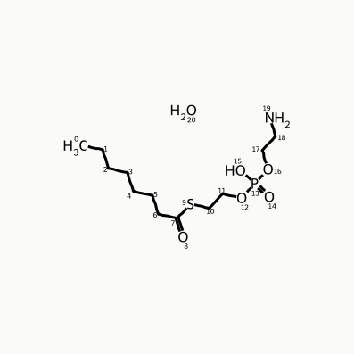 CCCCCCCC(=O)SCCOP(=O)(O)OCCN.O